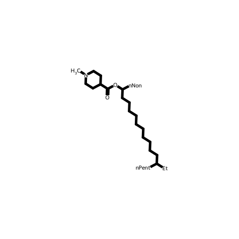 CCCCCCCCCC(CCCCCCCCCCC(CC)CCCCC)OC(=O)C1CCN(C)CC1